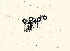 N=NNC(=N)C(COc1ccccc1Cl)N(CC(=O)Nc1ccc(Oc2ccccc2)cc1)C1CCCCC1